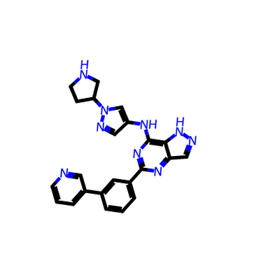 c1cncc(-c2cccc(-c3nc(Nc4cnn(C5CCNC5)c4)c4[nH]ncc4n3)c2)c1